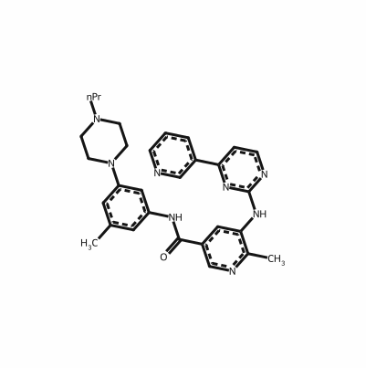 CCCN1CCN(c2cc(C)cc(NC(=O)c3cnc(C)c(Nc4nccc(-c5cccnc5)n4)c3)c2)CC1